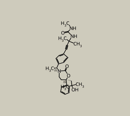 CNC(=O)NC(C)(C)C#Cc1ccc([C@H](C)N2CC[C@](CC(C)(C)O)(c3ccccc3)OC2=O)cc1